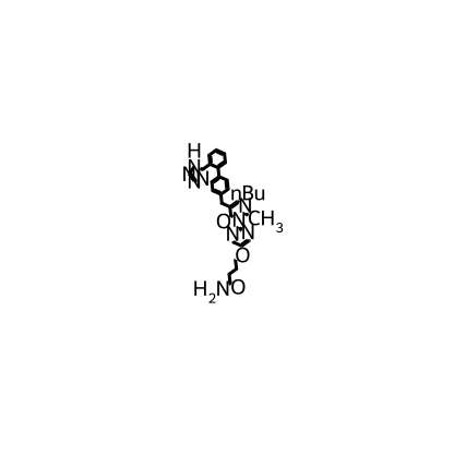 CCCCc1nc(C)n(-c2ncc(OCCCC(N)=O)cn2)c(=O)c1Cc1ccc(-c2ccccc2-c2nnn[nH]2)cc1